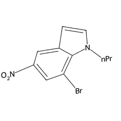 CCCn1ccc2cc([N+](=O)[O-])cc(Br)c21